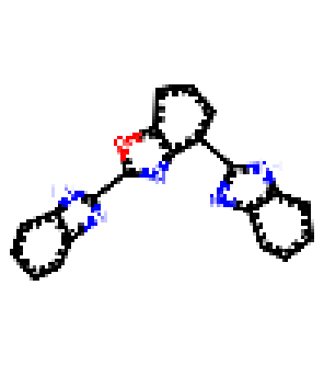 c1ccc2[nH]c(-c3nc4c(-c5nc6ccccc6[nH]5)cccc4o3)nc2c1